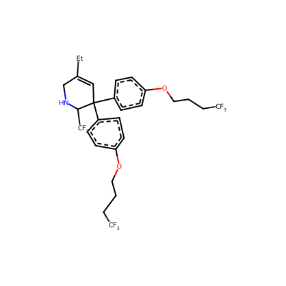 [CH2]CC1=CC(c2ccc(OCCCC(F)(F)F)cc2)(c2ccc(OCCCC(F)(F)F)cc2)C(C(F)(F)F)NC1